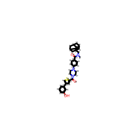 CN(CC12CC3CC(CC(C3)C1)C2)C(=O)c1ccc(N2CCN(C(=O)c3cc(-c4cccc(O)c4)cs3)CC2)cc1